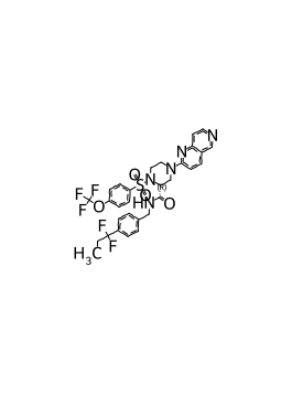 CCC(F)(F)c1ccc(CNC(=O)[C@H]2CN(c3ccc4cnccc4n3)CCN2S(=O)(=O)c2ccc(OC(F)(F)F)cc2)cc1